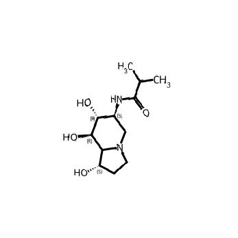 CC(C)C(=O)N[C@H]1CN2CC[C@H](O)C2[C@@H](O)[C@@H]1O